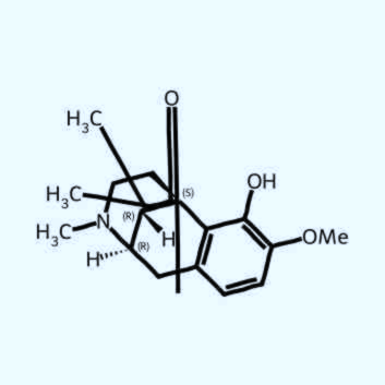 COc1ccc2c(c1O)[C@]13CCN(C)[C@H](C2)[C@@H]1C(C)C(C)C(=O)C3